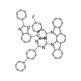 Fc1ccc(-c2nc(-c3ccc(-c4ccccc4)cc3)nc(-n3c4ccccc4c4ccc5c6ccccc6n(-c6ccc(-c7cccc8nc(-c9ccccc9)oc78)cc6)c5c43)n2)cc1